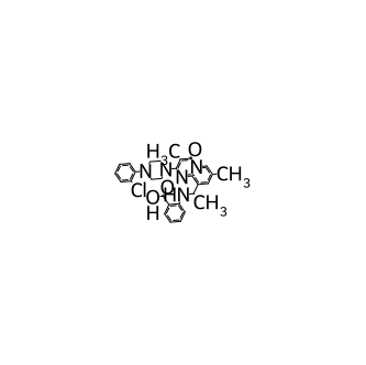 Cc1cc([C@@H](C)Nc2ccccc2C(=O)O)c2nc(N3CCN(c4ccccc4Cl)CC3)c(C)c(=O)n2c1